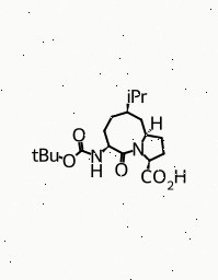 CC(C)[C@@H]1CC[C@H](NC(=O)OC(C)(C)C)C(=O)N2[C@H](CC[C@H]2C(=O)O)C1